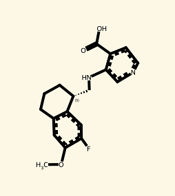 COc1cc2c(cc1F)[C@@H](CNc1cnccc1C(=O)O)CCC2